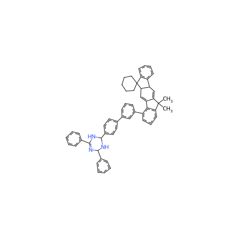 CC1(C)C2=CC3c4ccccc4C4(CCCCC4)C3C=C2c2c(-c3cccc(-c4ccc(C5NC(c6ccccc6)=NC(c6ccccc6)N5)cc4)c3)cccc21